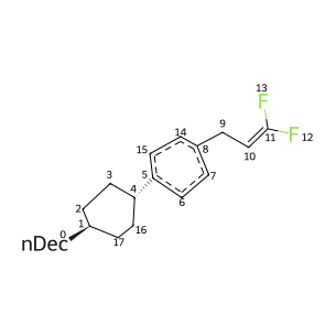 CCCCCCCCCC[C@H]1CC[C@H](c2ccc(CC=C(F)F)cc2)CC1